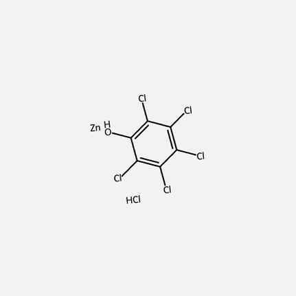 Cl.Oc1c(Cl)c(Cl)c(Cl)c(Cl)c1Cl.[Zn]